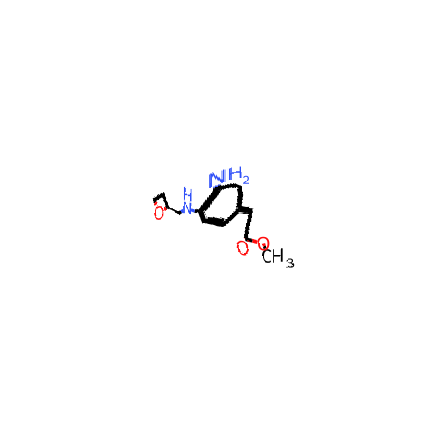 COC(=O)Cc1ccc(NC[C@@H]2CCO2)c(N)c1